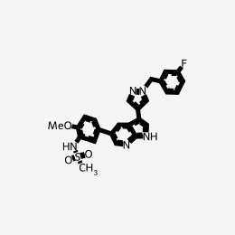 COc1ccc(-c2cnc3[nH]cc(-c4cnn(Cc5cccc(F)c5)c4)c3c2)cc1NS(C)(=O)=O